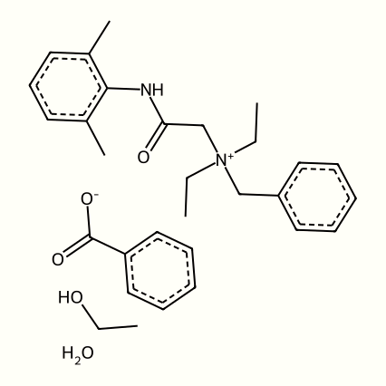 CCO.CC[N+](CC)(CC(=O)Nc1c(C)cccc1C)Cc1ccccc1.O.O=C([O-])c1ccccc1